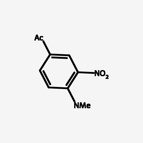 CNc1ccc(C(C)=O)cc1[N+](=O)[O-]